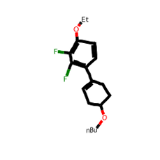 CCCCOC1CC=C(c2ccc(OCC)c(F)c2F)CC1